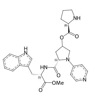 COC(=O)[C@H](Cc1c[nH]c2ccccc12)NC(=O)[C@@H]1CC(OC(=O)[C@H]2CCCN2)CN1c1ccncc1